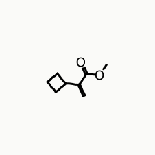 C=C(C(=O)OC)C1CCC1